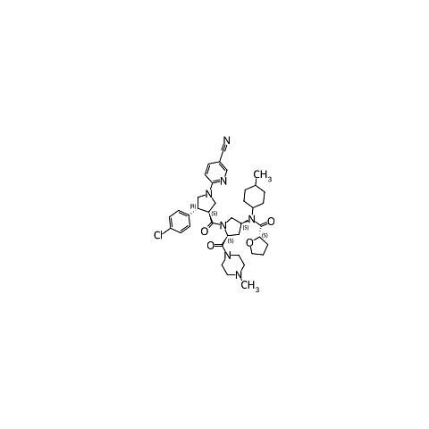 CC1CCC(N(C(=O)[C@@H]2CCCO2)[C@H]2C[C@@H](C(=O)N3CCN(C)CC3)N(C(=O)[C@@H]3CN(c4ccc(C#N)cn4)C[C@H]3c3ccc(Cl)cc3)C2)CC1